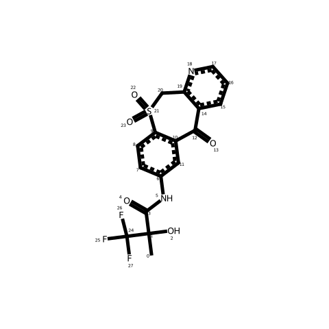 CC(O)(C(=O)Nc1ccc2c(c1)C(=O)c1cccnc1CS2(=O)=O)C(F)(F)F